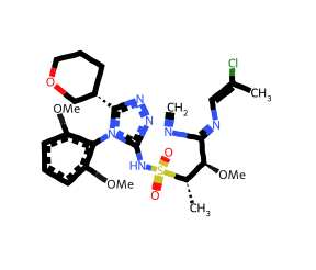 C=N/C(=N\C=C(/C)Cl)[C@@H](OC)[C@H](C)S(=O)(=O)Nc1nnc([C@H]2CCCOC2)n1-c1c(OC)cccc1OC